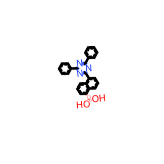 OB(O)c1cccc2c(-c3nc(-c4ccccc4)nc(-c4ccccc4)n3)cccc12